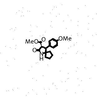 COC(=O)[C@@H]1C(=O)NC2(CCCC2)C1c1ccc(OC)cc1